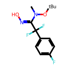 CN(OC(C)(C)C)/C(=N\O)C(F)(F)c1ccc(F)cc1